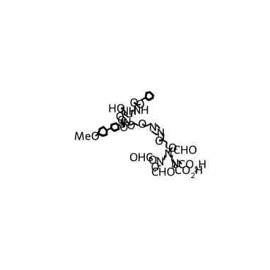 COc1ccc(-c2ccc(S(=O)(=O)N(OCCOCCN3CCN(CC(=O)CC[C@@H](OC=O)N(CCN(COC=O)COC=O)CCN(CC(=O)O)CC(=O)O)CC3)[C@H](CCNC(=O)OCc3ccccc3)C(=O)NO)cc2)cc1